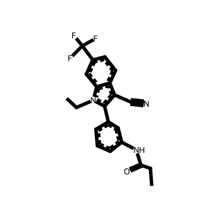 CCC(=O)Nc1cccc(-c2c(C#N)c3ccc(C(F)(F)F)cc3n2CC)c1